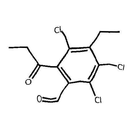 CCC(=O)c1c(Cl)c(CC)c(Cl)c(Cl)c1C=O